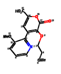 COCCOc1c(-c2ncccc2OC)cc(C(=O)O)oc1=O